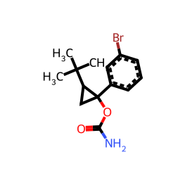 CC(C)(C)C1CC1(OC(N)=O)c1cccc(Br)c1